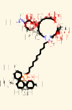 CC[C@H]1OC(O)[C@H](C)[C@@H](O)[C@H](C)[C@@H](O[C@@H]2O[C@H](C)C[C@H](N(C)C)[C@H]2O)[C@](C)(O)C[C@@H](C)CN(C(=O)CCCCCCCCCCCP(O)(c2cc(C)cc(C)c2)(c2cc(C)cc(C)c2)c2cc(C)cc(C)c2)[C@H](C)[C@@H](O)[C@]1(C)O